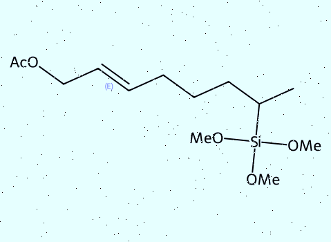 CO[Si](OC)(OC)C(C)CCC/C=C/COC(C)=O